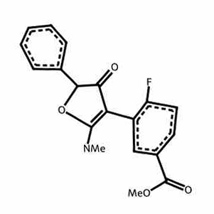 CNC1=C(c2cc(C(=O)OC)ccc2F)C(=O)C(c2ccccc2)O1